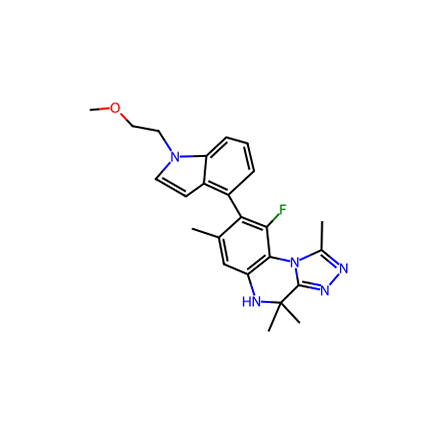 COCCn1ccc2c(-c3c(C)cc4c(c3F)-n3c(C)nnc3C(C)(C)N4)cccc21